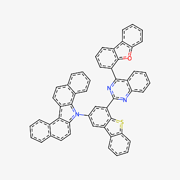 c1ccc2c(c1)ccc1c2c2ccc3ccccc3c2n1-c1cc(-c2nc(-c3cccc4c3oc3ccccc34)c3ccccc3n2)c2sc3ccccc3c2c1